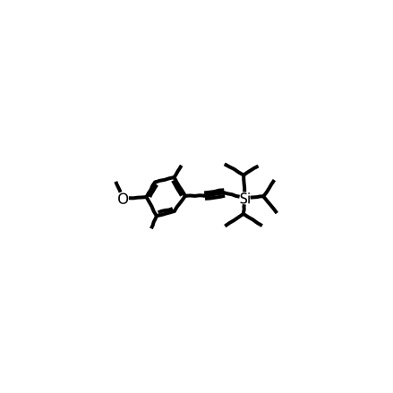 COc1cc(C)c(C#C[Si](C(C)C)(C(C)C)C(C)C)cc1C